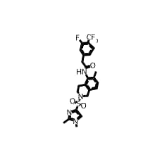 Cc1ccc2c(c1NC(=O)Cc1ccc(C(F)(F)F)c(F)c1)CCN(S(=O)(=O)c1cn(C)c(C)n1)C2